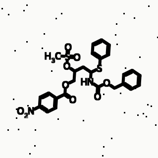 CS(=O)(=O)OC(COC(=O)c1ccc([N+](=O)[O-])cc1)CC(NC(=O)OCc1ccccc1)Sc1ccccc1